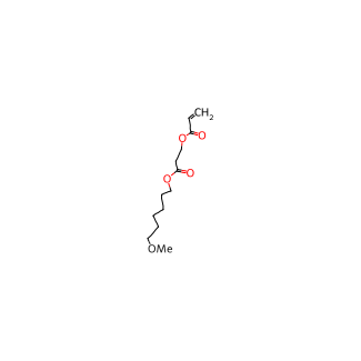 C=CC(=O)OCCC(=O)OCCCCCCOC